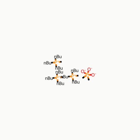 CCCC[P+](C)(CCCC)CCCC.CCCC[P+](C)(CCCC)CCCC.CCCC[P+](C)(CCCC)CCCC.CP(C)([O-])([O-])[O-]